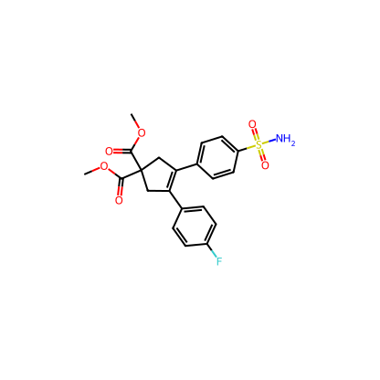 COC(=O)C1(C(=O)OC)CC(c2ccc(F)cc2)=C(c2ccc(S(N)(=O)=O)cc2)C1